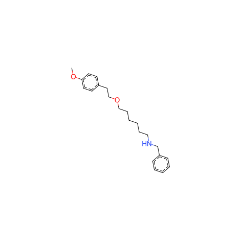 COc1ccc(CCOCCCCCCNCc2ccccc2)cc1